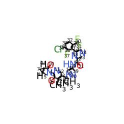 COc1c(N2C[C@H]3C[C@H]3C2=O)ncc(C(C)n2cc(NC(=O)c3cncc(-c4c(C(F)F)ccc(Cl)c4F)n3)cn2)c1C